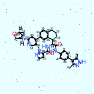 Cc1n[nH]c(C)c1-c1ccc(NC(=O)[C@@H](NC(=O)c2ccnn2C)[C@@H]2CCCc3ccc(-c4ccnc(N5C[C@H]6C[C@@H]5CO6)c4)cc32)cc1